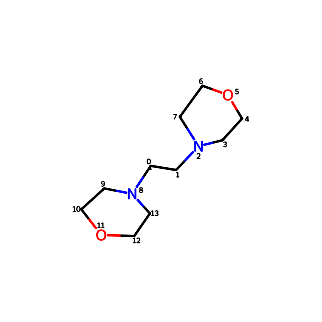 [CH](CN1CCOCC1)N1CCOCC1